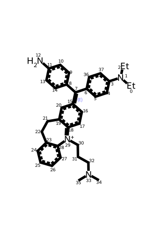 CCN(CC)c1ccc(/C(c2ccc(N)cc2)=c2\ccc3c(c2)CCc2ccccc2[N+]=3CCCN(C)C)cc1